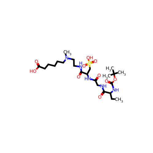 CCC(NC(=O)OC(C)(C)C)C(=O)NCC(=O)NC(CS(=O)(=O)O)C(=O)NCCN(C)CCCCCC(=O)O